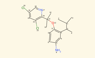 CC(C)C(C)c1cc(N)ccc1OC(C)(C)c1ncc(Cl)cc1Cl